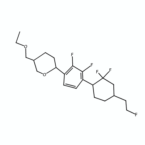 CCOCC1CCC(c2ccc(C3CCC(CCF)CC3(F)F)c(F)c2F)OC1